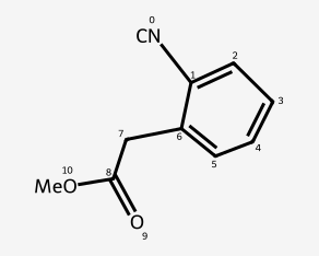 [C-]#[N+]c1ccccc1CC(=O)OC